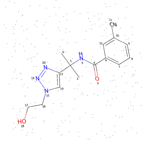 CC(C)(NC(=O)c1cccc(C#N)c1)c1cn(CCO)nn1